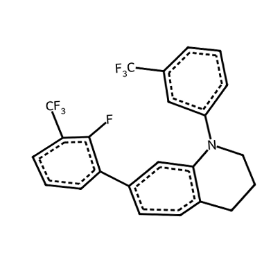 Fc1c(-c2ccc3c(c2)N(c2cccc(C(F)(F)F)c2)CCC3)cccc1C(F)(F)F